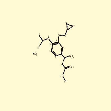 COC(=O)CC(N)c1ccc(OC(F)F)c(OCC2CC2)c1.Cl